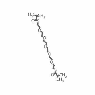 C=C(C)C(=O)SCCOCCOCCOCCOCCOCCSC(=O)C(=C)C